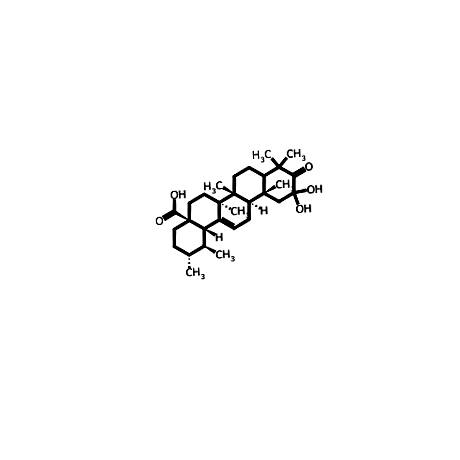 C[C@H]1[C@H](C)CC[C@]2(C(=O)O)CC[C@]3(C)C(=CC[C@@H]4[C@@]5(C)CC(O)(O)C(=O)C(C)(C)C5CC[C@]43C)[C@H]12